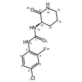 O=C(Nc1ccc(Cl)cc1F)N[C@@H]1CCCNC1=O